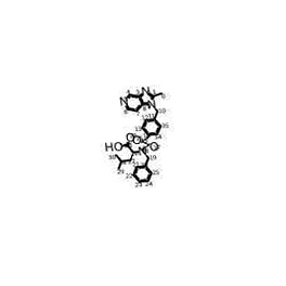 Cc1nc2cnccc2n1Cc1ccc(S(=O)(=O)N(Cc2ccccc2)[C@@H](CC(C)C)C(=O)O)cc1